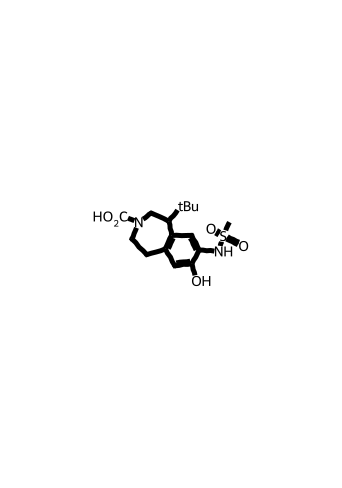 CC(C)(C)C1CN(C(=O)O)CCc2cc(O)c(NS(C)(=O)=O)cc21